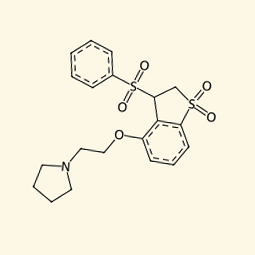 O=S1(=O)CC(S(=O)(=O)c2ccccc2)c2c(OCCN3CCCC3)cccc21